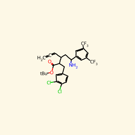 C=C=CC(CC(N)c1cc(C(F)(F)F)cc(C(F)(F)F)c1)C(Cc1ccc(Cl)c(Cl)c1)C(=O)OC(C)(C)C